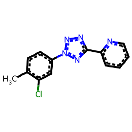 Cc1ccc(-n2nnc(-c3ccccn3)n2)cc1Cl